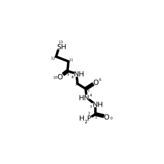 O=C(P)NNC(=O)CNC(=O)CCS